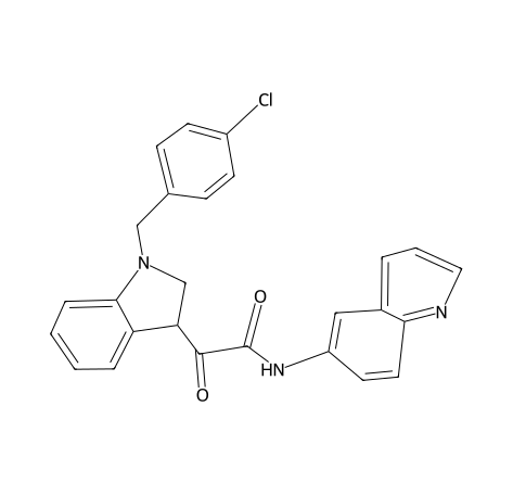 O=C(Nc1ccc2ncccc2c1)C(=O)C1CN(Cc2ccc(Cl)cc2)c2ccccc21